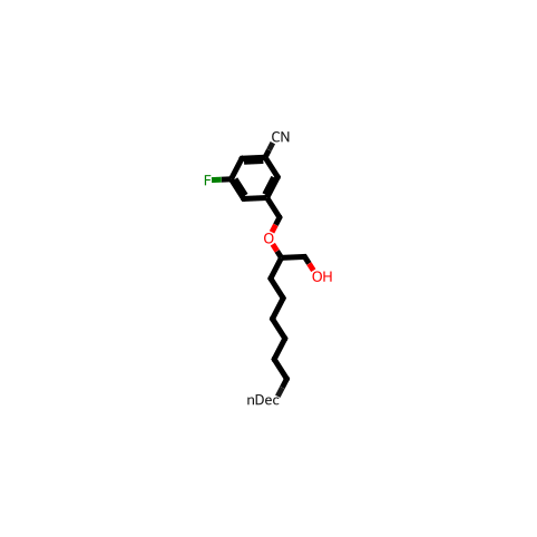 CCCCCCCCCCCCCCCCC(CO)OCc1cc(F)cc(C#N)c1